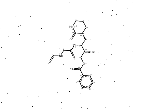 O=CNCC(=O)NC(C[C@@H]1CCCNC1=O)C(=O)COC(=O)c1ccccc1